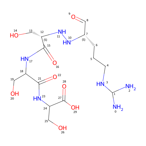 NC(N)NCCC[C@@H](C=O)NN[C@@H](CO)C(=O)NC(CO)C(=O)NC(CO)C(=O)O